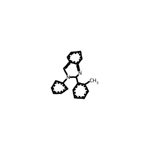 Cc1ccccc1C1N=c2ccccc2=CN1c1ccccc1